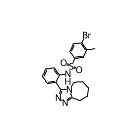 Cc1cc(S(=O)(=O)Nc2ccccc2-c2nnc3n2CCCCC3)ccc1Br